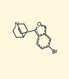 Brc1ccc2c(C3=CN4CCC3CC4)occ2c1